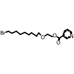 O=C(OCCOCCCCCCCCCBr)c1cccnc1